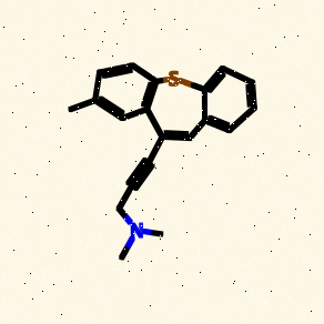 Cc1ccc2c(c1)C(C#CCN(C)C)=Cc1ccccc1S2